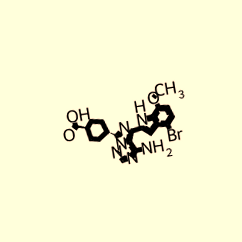 COc1ccc(Br)c2cc(-c3nc([C@H]4CC[C@H](C(=O)O)CC4)n4ncnc(N)c34)[nH]c12